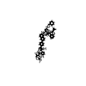 COC(=O)N[C@H](C(=O)N1CCC[C@H]1c1ncc(-c2ccc(-c3ccc4c(ccc5nc([C@@H]6C[C@H](COCC7CCCCC7)CN6C(=O)[C@H](NC(=O)C6CC6)c6ccccc6)[nH]c54)c3)cc2)[nH]1)C(C)C